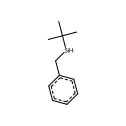 CC(C)(C)[SiH]Cc1ccccc1